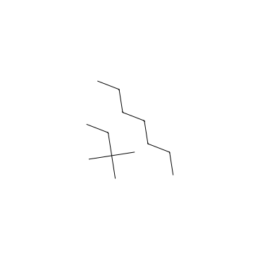 CCC(C)(C)C.CCCCCCC